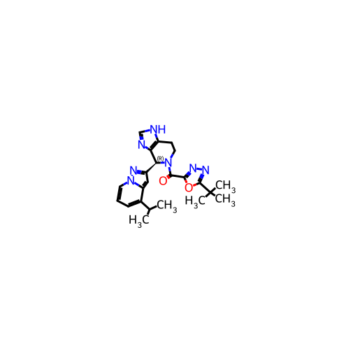 CC(C)c1cccn2nc([C@H]3c4nc[nH]c4CCN3C(=O)c3nnc(C(C)(C)C)o3)cc12